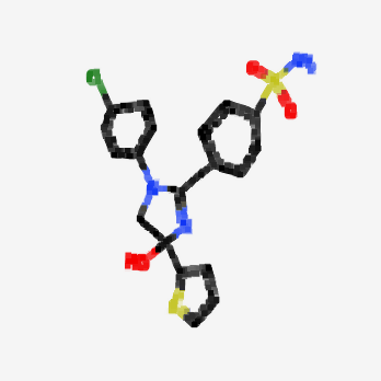 NS(=O)(=O)c1ccc(C2=NC(O)(c3cccs3)CN2c2ccc(Cl)cc2)cc1